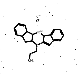 CCCP1C2=Cc3ccccc3[CH]2[Hf+2][CH]2C3C=CC=CC3CC21.[Cl-].[Cl-]